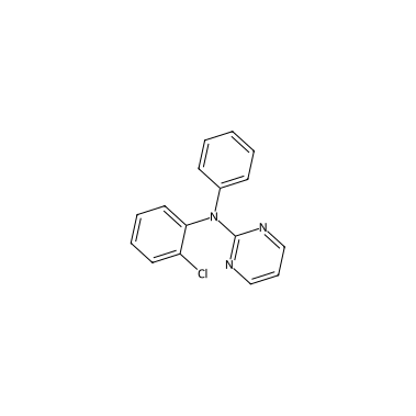 Clc1ccccc1N(c1ccccc1)c1ncccn1